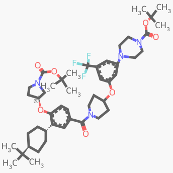 CC(C)(C)OC(=O)N1CCN(c2cc(OC3CCN(C(=O)c4ccc(O[C@H]5CCN(C(=O)OC(C)(C)C)C5)c([C@H]5CC[C@H](C(C)(C)C)CC5)c4)CC3)cc(C(F)(F)F)c2)CC1